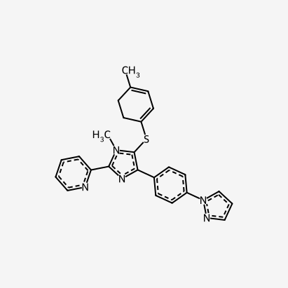 CC1=CC=C(Sc2c(-c3ccc(-n4cccn4)cc3)nc(-c3ccccn3)n2C)CC1